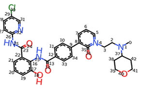 CN(CCn1cccc(-c2ccc(C(=O)Nc3c(O)cccc3C(=O)Nc3ccc(Cl)cn3)cc2)c1=O)C1CCOCC1